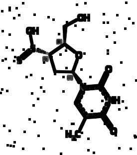 Cc1cn([C@H]2C[C@H](S(O)=S)[C@@H](CO)O2)c(=O)[nH]c1=O